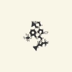 Cl.[2H]C([2H])([2H])Oc1cccc([C@@H]2[C@H](N3CCNC4(CC4)C3)CCN2C(=O)Cn2nc(C3CC3)cc2C(F)(F)F)c1C